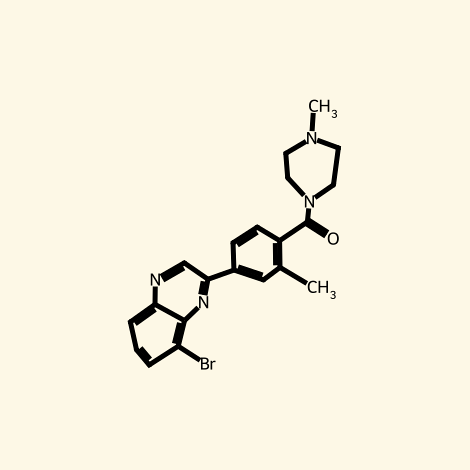 Cc1cc(-c2cnc3cccc(Br)c3n2)ccc1C(=O)N1CCN(C)CC1